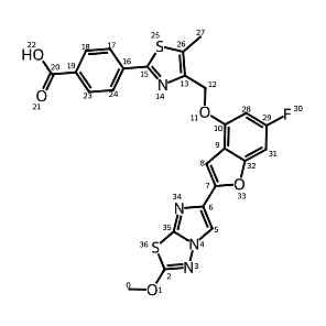 COc1nn2cc(-c3cc4c(OCc5nc(-c6ccc(C(=O)O)cc6)sc5C)cc(F)cc4o3)nc2s1